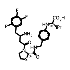 CC(C)[C@@H](Nc1ccc(CNC(=O)[C@@H]2SCCN2C(=O)CC(N)Cc2cc(F)c(F)cc2F)cc1)C(=O)O